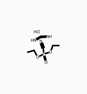 CCOP(=O)(C#N)OCC.Cl.N=C=N